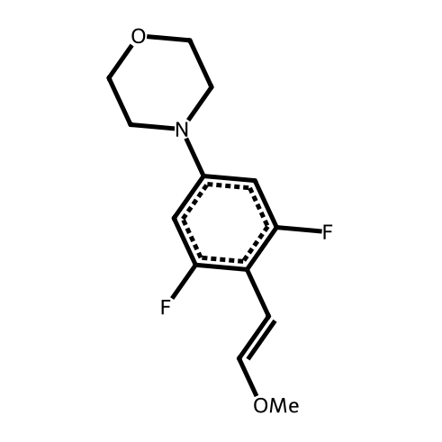 COC=Cc1c(F)cc(N2CCOCC2)cc1F